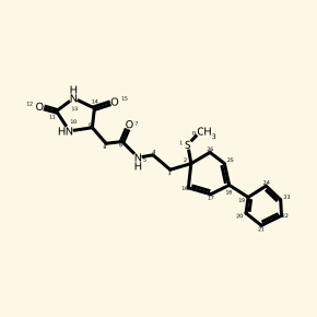 CSC1(CCNC(=O)CC2NC(=O)NC2=O)C=CC(c2ccccc2)=CC1